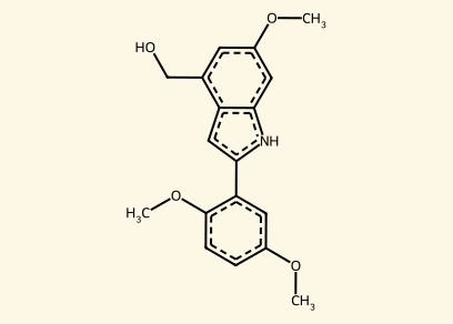 COc1ccc(OC)c(-c2cc3c(CO)cc(OC)cc3[nH]2)c1